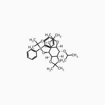 CC(C)O[C@@H]1[C@H]2OC(C)(C)O[C@H]2[C@@H](O[Si](c2ccccc2)(c2ccccc2)C(C)(C)C)[C@@H]2OC(C)(C)O[C@@H]12